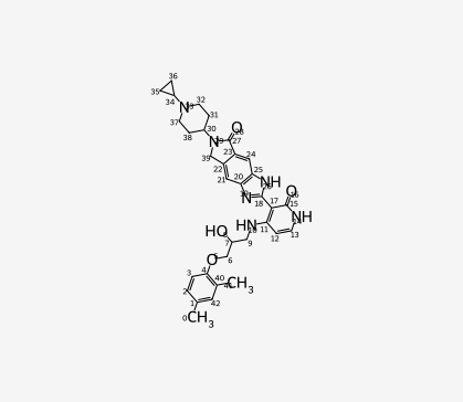 Cc1ccc(OCC(O)CNc2cc[nH]c(=O)c2-c2nc3cc4c(cc3[nH]2)C(=O)N(C2CCN(C3CC3)CC2)C4)c(C)c1